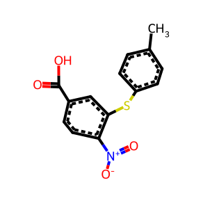 Cc1ccc(Sc2cc(C(=O)O)ccc2[N+](=O)[O-])cc1